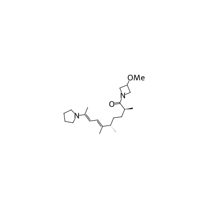 COC1CN(C(=O)[C@@H](C)CC[C@H](C)/C(C)=C/C=C(\C)N2CCCC2)C1